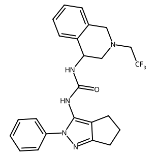 O=C(Nc1c2c(nn1-c1ccccc1)CCC2)NC1CN(CC(F)(F)F)Cc2ccccc21